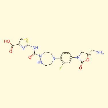 NC[C@H]1CN(c2ccc(N3CCNN(C(=O)Nc4nc(C(=O)O)cs4)CC3)c(F)c2)C(=O)O1